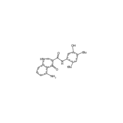 CC(C)(C)c1cc(C(C)(C)C)c(NC(=O)c2c[nH]c3cccc(N)c3c2=O)cc1O